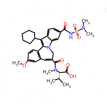 COc1ccc2c(c1)C=C(C(=O)N(C)[C@H](C(=O)O)C(C)C)Cn1c-2c(C2CCCCC2)c2ccc(C(=O)NS(=O)(=O)N(C)C)cc21